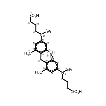 CCCN(CCCS(=O)(=O)O)c1cc(C)c(Cc2c(C)cc(N(CCC)CCCS(=O)(=O)O)cc2C)c(C)c1